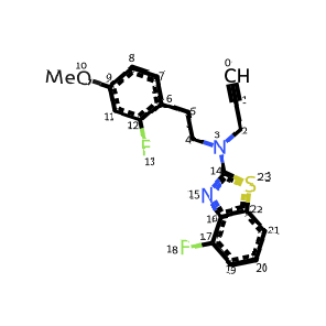 C#CCN(CCc1ccc(OC)cc1F)c1nc2c(F)cccc2s1